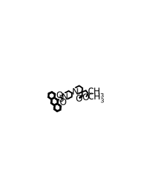 CC1(C)CC2(CCCN(C3CCN(S(=O)(=O)c4c5ccccc5cc5ccccc45)CC3)C2)C(=O)O1